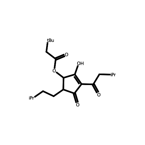 CC(C)CCC1C(=O)C(C(=O)CC(C)C)=C(O)C1OC(=O)CC(C)(C)C